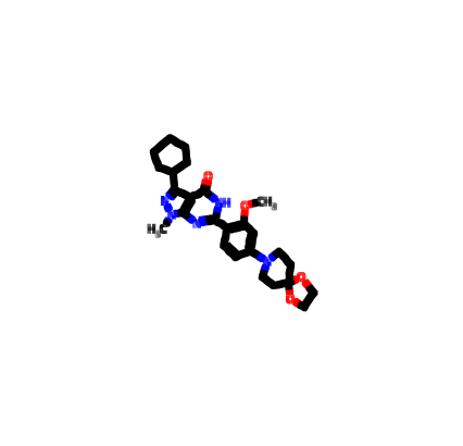 COc1cc(N2CCC3(CC2)OCCO3)ccc1-c1nc2c(c(C3CCCCC3)nn2C)c(=O)[nH]1